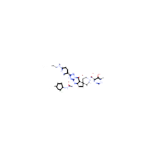 COCCN(C)c1ccc(-c2nc3n(CC(=O)Nc4ccc(C(F)(F)F)cc4Cl)c4c(c(=O)n3n2)C2(C=C4)CCN(C(=O)c3ncnc(C)c3O)CC2)cn1